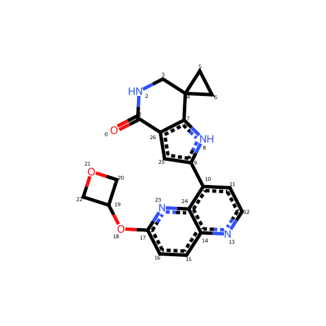 O=C1NCC2(CC2)c2[nH]c(-c3ccnc4ccc(OC5COC5)nc34)cc21